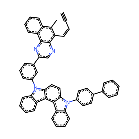 C#C/C=C\c1c(C)c2ccccc2c2nc(-c3cccc(-n4c5ccccc5c5c6c7ccccc7n(-c7ccc(-c8ccccc8)cc7)c6ccc54)c3)cnc12